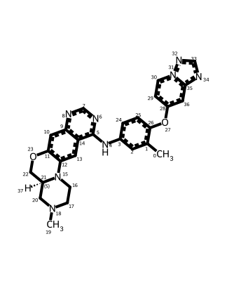 Cc1cc(Nc2ncnc3cc4c(cc23)N2CCN(C)C[C@H]2CO4)ccc1Oc1ccn2ncnc2c1